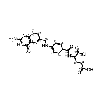 Nc1nc2c(c(=O)[nH]1)N=C(CNC1=CCC(C(=O)NC(CCC(=O)O)C(=O)O)C=C1)CN2